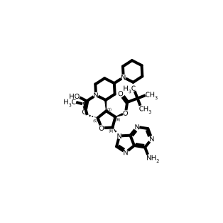 CSC[C@H]1O[C@@H](n2cnc3c(N)ncnc32)[C@H](OC(=O)C(C)(C)C)[C@@H]1C1CC(N2CCCCC2)CCN1C(=O)O